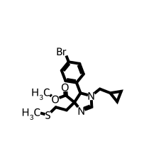 COC(=O)C1(CCSC)N=CN(CC2CC2)C1c1ccc(Br)cc1